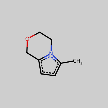 Cc1ccc2n1CCOC2